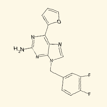 Nc1nc(-c2ccco2)c2ncn(Cc3ccc(F)c(F)c3)c2n1